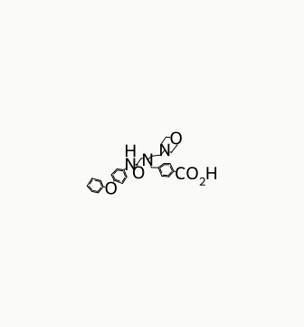 O=C(CN(CCN1CCOCC1)Cc1ccc(C(=O)O)cc1)Nc1ccc(Oc2ccccc2)cc1